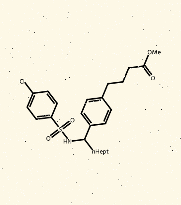 CCCCCCCC(NS(=O)(=O)c1ccc(Cl)cc1)c1ccc(CCCC(=O)OC)cc1